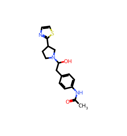 CC(=O)Nc1ccc(CC(O)N2CCC(c3nccs3)C2)cc1